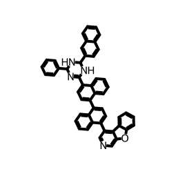 c1ccc(C2N=C(c3ccc(-c4ccc(-c5cncc6oc7ccccc7c56)c5ccccc45)c4ccccc34)NC(c3ccc4ccccc4c3)N2)cc1